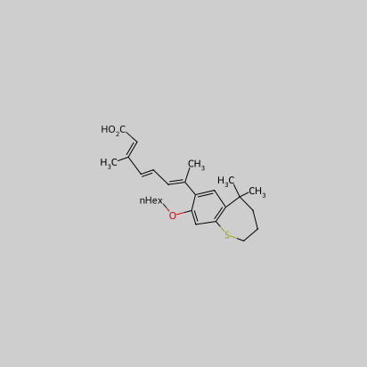 CCCCCCOc1cc2c(cc1C(C)=CC=CC(C)=CC(=O)O)C(C)(C)CCCS2